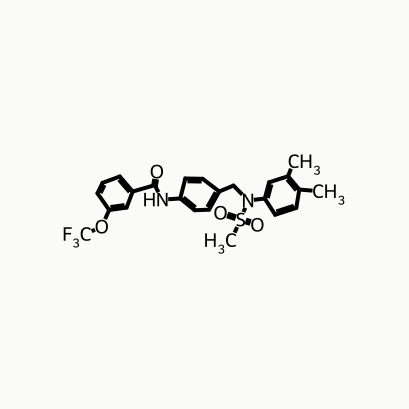 Cc1ccc(N(Cc2ccc(NC(=O)c3cccc(OC(F)(F)F)c3)cc2)S(C)(=O)=O)cc1C